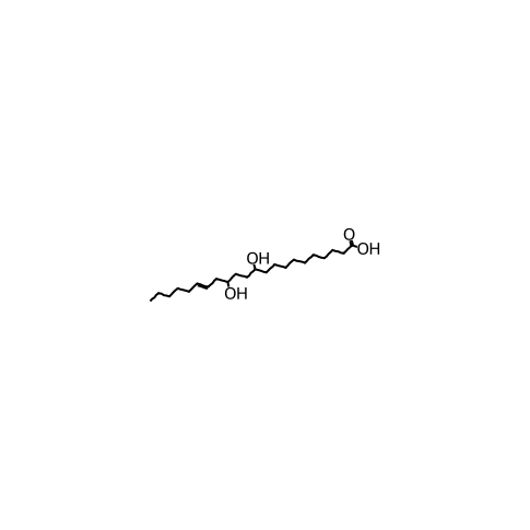 CCCCCC=CCC(O)CCC(O)CCCCCCCCCC(=O)O